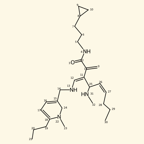 C=C(C(=O)NCCCC1CC1)/C(=C/NCC1=CC=C(CCC)N(C)C1)C(/C=C\CCC)NC